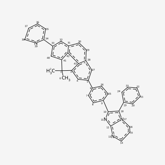 CC1(C)c2cc(-c3ccc(-c4nc5ncccn5c4-c4ccccc4)cc3)cc3ccc4cc(-c5ccccn5)cc1c4c23